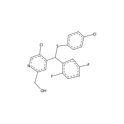 OCc1cc(C(Sc2ccc(Cl)cc2)c2cc(F)ccc2F)c(Cl)cn1